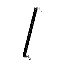 N/N=N/N=N/N=N/N=N/N=N/N=N/N=N/N=N/N=N/N=N/N=N/N=N/N=N/N=N/N=N/N=N/N=N/N=N/N=N/N=N/N=N/N=N/N=N/N=N/N=N/N=N/N=N/N=N/N=N/N=N/N=N/N=N/N=N/N=N/N=N/N=N/N=N/N=N/N=N/N